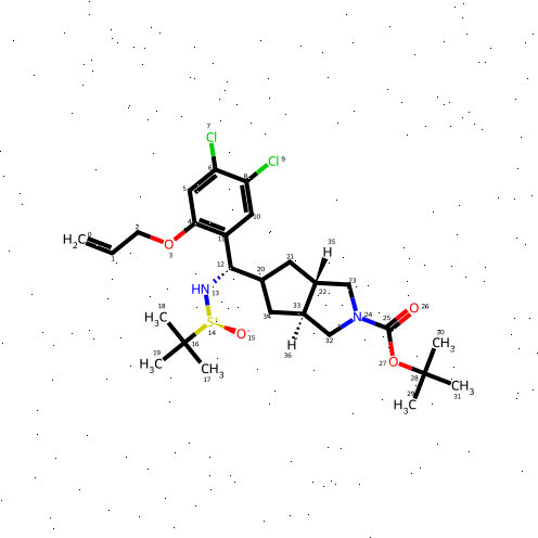 C=CCOc1cc(Cl)c(Cl)cc1[C@@H](N[S@@+]([O-])C(C)(C)C)C1C[C@@H]2CN(C(=O)OC(C)(C)C)C[C@H]2C1